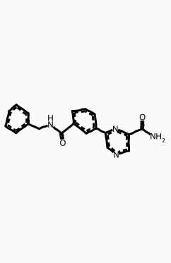 NC(=O)c1cncc(-c2cccc(C(=O)NCc3ccccc3)c2)n1